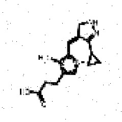 Cc1c(CCC(=O)O)c[nH]c1C=C1CNN=C1C1CC1